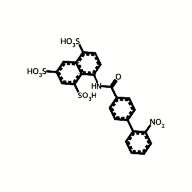 O=C(Nc1ccc(S(=O)(=O)O)c2cc(S(=O)(=O)O)cc(S(=O)(=O)O)c12)c1ccc(-c2ccccc2[N+](=O)[O-])cc1